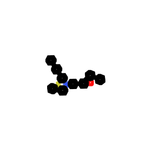 c1ccc(-c2ccc(-c3ccc(N(c4ccc(-c5ccc6oc7c(-c8ccccc8)cccc7c6c5)cc4)c4cccc5c4sc4ccccc45)cc3)cc2)cc1